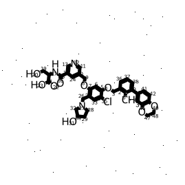 Cc1c(COc2cc(OCc3cncc(C(=O)NC(CO)C(=O)O)c3)c(CN3CC[C@H](O)C3)cc2Cl)cccc1-c1ccc2c(c1)OCCO2